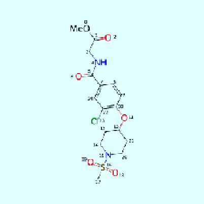 COC(=O)CNC(=O)c1ccc(OC2CCN(S(C)(=O)=O)CC2)c(Cl)c1